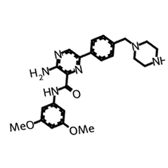 COc1cc(NC(=O)c2nc(-c3ccc(CN4CCNCC4)cc3)cnc2N)cc(OC)c1